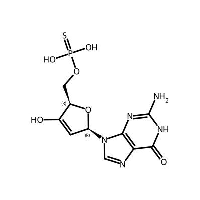 Nc1nc2c(ncn2[C@H]2C=C(O)[C@@H](COP(O)(O)=S)O2)c(=O)[nH]1